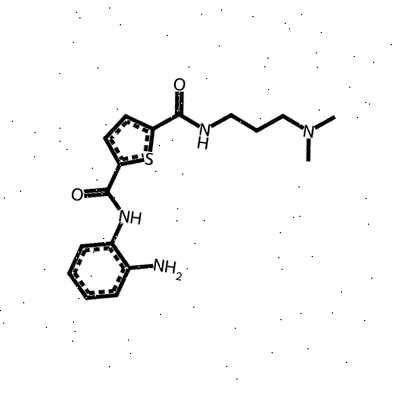 CN(C)CCCNC(=O)c1ccc(C(=O)Nc2ccccc2N)s1